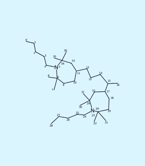 CCCCCN1C(C)(C)CCC(CCCC(C)C2CCC(C)(C)N(CCCCC)C(C)(C)C2)CC1(C)C